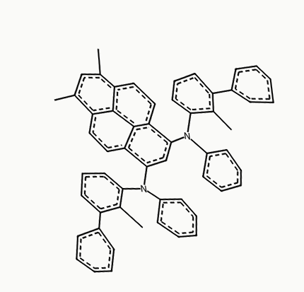 Cc1c(-c2ccccc2)cccc1N(c1ccccc1)c1cc(N(c2ccccc2)c2cccc(-c3ccccc3)c2C)c2ccc3c(C)cc(C)c4ccc1c2c43